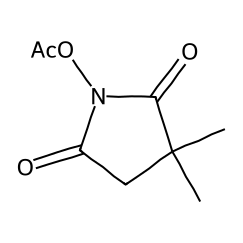 CC(=O)ON1C(=O)CC(C)(C)C1=O